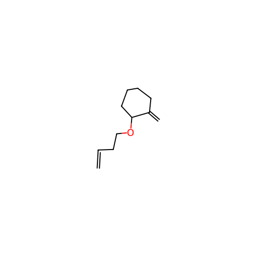 C=CCCOC1CCCCC1=C